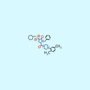 Cc1ccc(C)c(N2CCN(C(=O)C3CN(S(=O)(=O)CC4CCCCC4)C(=O)N3Cc3ccccc3)CC2)c1